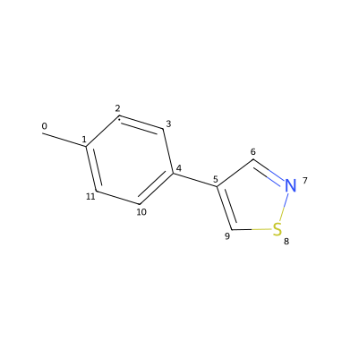 Cc1[c]cc(-c2cnsc2)cc1